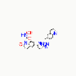 O=C(CN1C(=O)CCc2cc(-c3ccc4nnc(Cc5ccc6ncccc6c5)n4n3)ccc21)NO